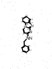 c1ccc(CNc2ccn3c(n2)nc2ccccc23)cc1